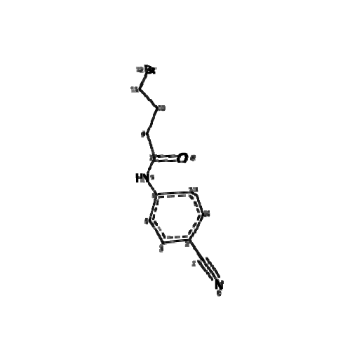 N#Cc1ccc(NC(=O)CCCBr)cc1